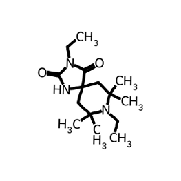 CCN1C(=O)NC2(CC(C)(C)N(CC)C(C)(C)C2)C1=O